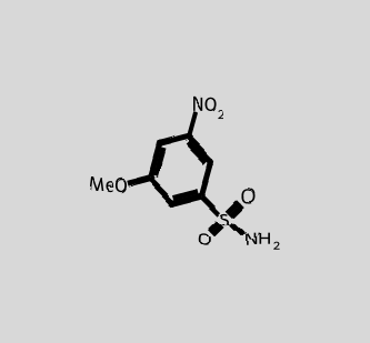 COc1cc([N+](=O)[O-])cc(S(N)(=O)=O)c1